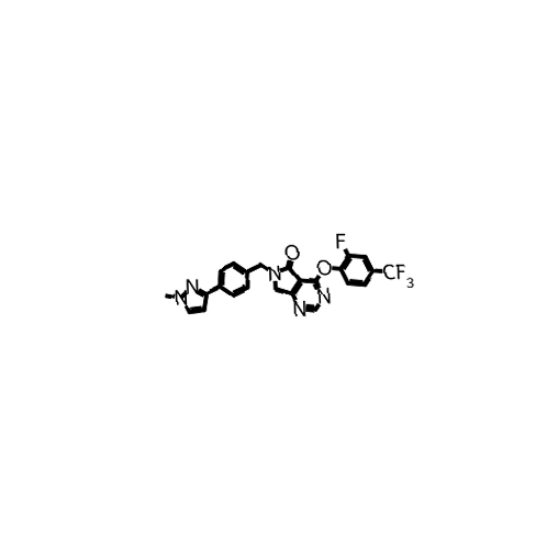 Cn1ccc(-c2ccc(CN3Cc4ncnc(Oc5ccc(C(F)(F)F)cc5F)c4C3=O)cc2)n1